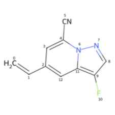 C=Cc1cc(C#N)n2ncc(F)c2c1